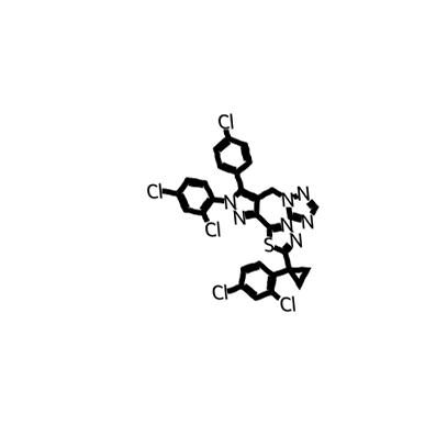 Clc1ccc(-c2c(Cn3cncn3)c(-c3nnc(C4(c5ccc(Cl)cc5Cl)CC4)s3)nn2-c2ccc(Cl)cc2Cl)cc1